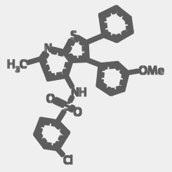 COc1cccc(-c2c(-c3ccccc3)sc3nc(C)cc(NS(=O)(=O)c4cccc(Cl)c4)c23)c1